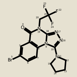 O=c1c2cc(Br)ccc2n2c(N3CCCC3)nnc2n1CC(F)(F)F